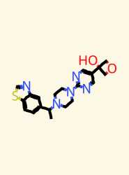 CC(c1ccc2scnc2c1)N1CCN(c2ncc(C3(O)COC3)cn2)CC1